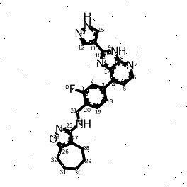 Fc1cc(-c2ccnc3[nH]c(-c4cn[nH]c4)nc23)ccc1CNc1noc2c1CCCCC2